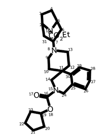 CCOC(=O)N1C2CCC1CC(N1CCC3(CC1)CN(C(=O)OC1CCCC1)Cc1ccccc13)C2